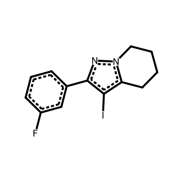 Fc1cccc(-c2nn3c(c2I)CCCC3)c1